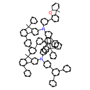 CC1(c2ccc(-c3cccc(C4(c5ccccc5)c5ccccc5-c5ccc(N(c6cccc(-c7cccc8c7OC7C=CC=CC87C)c6)c6ccc7c(c6)C(C)(c6ccccc6)c6cccc(-c8ccccc8)c6-7)cc54)c3)cc2)c2cc(N(c3ccc(-c4cc(-c5ccccc5)cc(-c5ccccc5)c4)cc3)c3ccc4c(c3)C(c3ccccc3)(c3ccccc3)c3ccccc3-4)ccc2-c2c(-c3ccccc3)cccc21